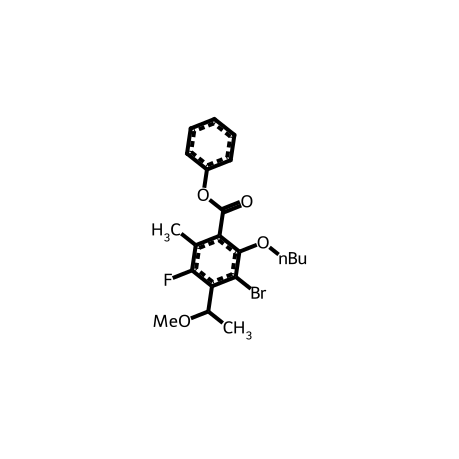 CCCCOc1c(Br)c(C(C)OC)c(F)c(C)c1C(=O)Oc1ccccc1